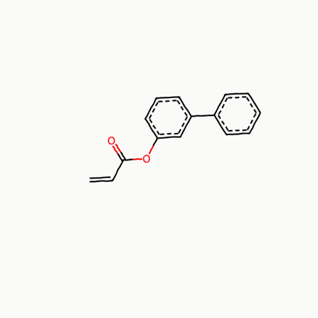 C=CC(=O)Oc1cccc(-c2ccccc2)c1